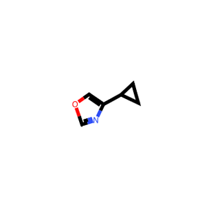 [c]1nc(C2CC2)co1